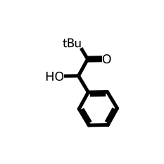 CC(C)(C)C(=O)C(O)c1ccccc1